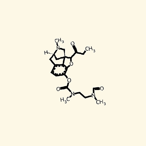 CCC(=O)C1Oc2c(OC(=O)N(C)CCN(C)C=O)ccc3c2[C@]12C[C@@H](C3)N(C)C2